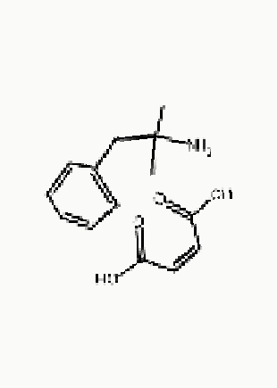 CC(C)(N)Cc1ccccc1.O=C(O)/C=C\C(=O)O